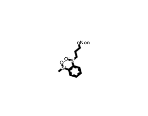 CCCCCCCCCCCC[S+]([O-])c1ccccc1[S+](C)[O-]